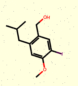 COc1cc(CC(C)C)c(CO)cc1I